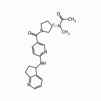 CC(=O)N(C)[C@H]1CCN(C(=O)c2ccc(NC3CCc4ncccc43)nc2)C1